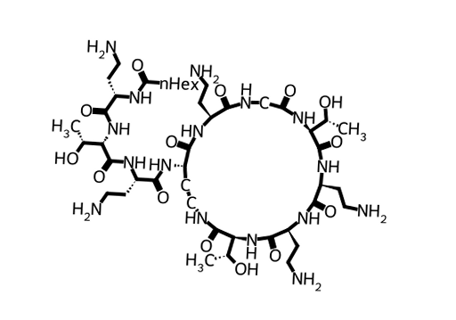 CCCCCCC(=O)N[C@@H](CCN)C(=O)N[C@H](C(=O)N[C@@H](CCN)C(=O)N[C@H]1CCNC(=O)[C@H]([C@@H](C)O)NC(=O)[C@H](CCN)NC(=O)[C@H](CCN)NC(=O)[C@H]([C@@H](C)O)NC(=O)CNC(=O)[C@H](CCN)NC1=O)[C@@H](C)O